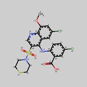 COc1cc(Cl)cc2c(Nc3ccc(Cl)cc3C(=O)O)c(S(=O)(=O)N3CCSCC3)cnc12